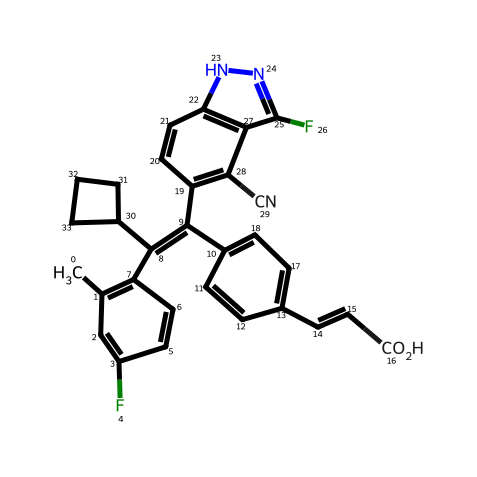 Cc1cc(F)ccc1/C(=C(\c1ccc(/C=C/C(=O)O)cc1)c1ccc2[nH]nc(F)c2c1C#N)C1CCC1